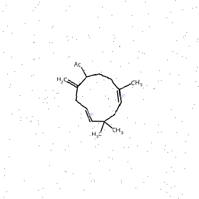 C=C1C/C=C/C(C)(C)C/C=C(/C)CCC1C(C)=O